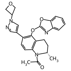 CC(=O)N1c2ccc(-c3cnn(C4COC4)c3)c(Oc3nc4ccccc4o3)c2CC[C@@H]1C